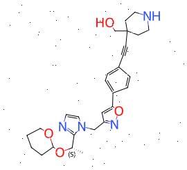 C[C@H](OC1CCCCO1)c1nccn1Cc1cc(-c2ccc(C#CC3(CO)CCNCC3)cc2)on1